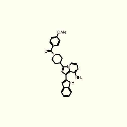 COc1ccc(C(=O)N2CCC(c3nc(-c4cc5ccccc5[nH]4)c4c(N)nccn34)CC2)cc1